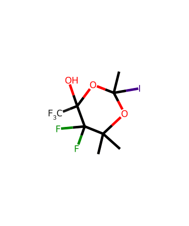 CC1(I)OC(C)(C)C(F)(F)C(O)(C(F)(F)F)O1